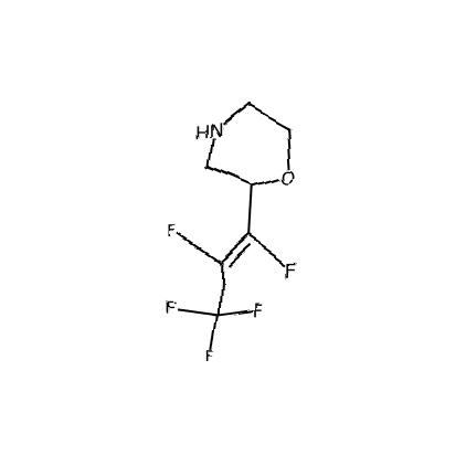 FC(=C(F)C(F)(F)F)C1CNCCO1